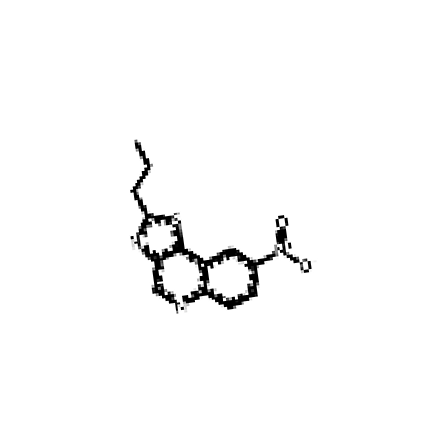 CCCc1nc2cnc3ccc([N+](=O)[O-])cc3c2s1